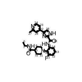 CCNC(=O)C1CCN(c2c(F)cccc2NC(=O)c2nc(-c3ccnc(C)c3)c[nH]2)CC1